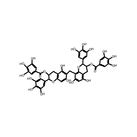 O=C(OC1Cc2c(cc(O)c(Cc3c(O)cc(O)c4c3OC(c3cc(O)c(O)c(O)c3)C(OC(=O)c3cc(O)c(O)c(O)c3)C4)c2O)OC1c1cc(O)c(O)c(O)c1)c1cc(O)c(O)c(O)c1